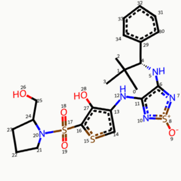 CC(C)(C)[C@@H](Nc1n[s+]([O-])nc1Nc1csc(S(=O)(=O)N2CCCC2CO)c1O)c1ccccc1